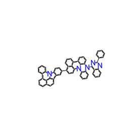 c1ccc(-c2nc(-n3c4cccc5c4-n(c4ccc(-c6ccc7c(c6)c6ccc8cccc9c%10ccccc%10n7c6c89)c6cccc5c64)c4ccccc43)c3ccccc3n2)cc1